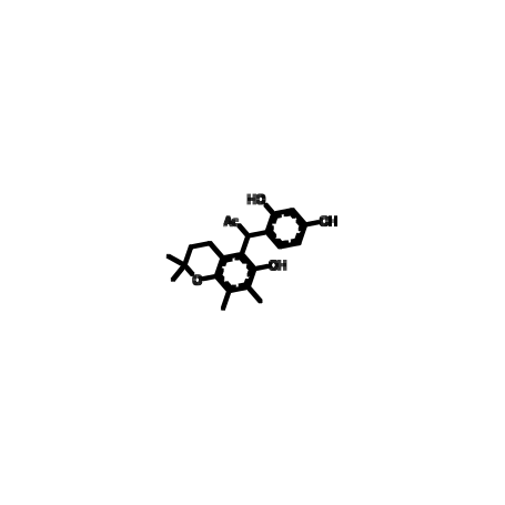 CC(=O)C(c1ccc(O)cc1O)c1c(O)c(C)c(C)c2c1CCC(C)(C)O2